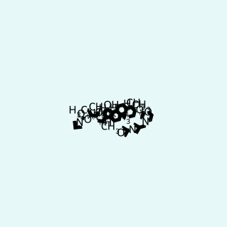 CC(C)[C@@H](OC(=O)N1CCC1)[C@H]1C[C@@H](C)[C@H]2[C@H](O1)[C@H](O)[C@@]1(C)[C@@H]3CC[C@H]4C(C)(C)C(O[C@H]5CN(CC6CN(C7COC7)C6)CCO5)CC[C@@]45C[C@@]35CC[C@]21C